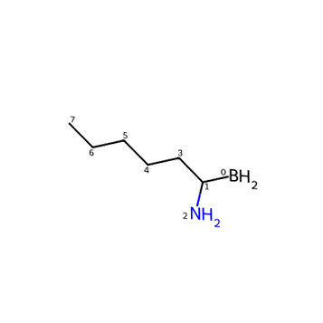 BC(N)CCCCC